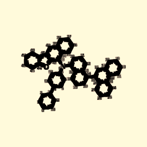 c1ccc(-c2ccc(N(c3cccc4c(-c5cc6ccccc6c6ccccc56)cccc34)c3c4ccccc4cc4c3oc3ccccc34)cc2)cc1